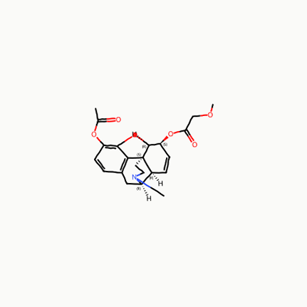 COCC(=O)O[C@H]1C=C[C@H]2[C@H]3Cc4ccc(OC(C)=O)c5c4[C@@]2(CCN3C)[C@H]1O5